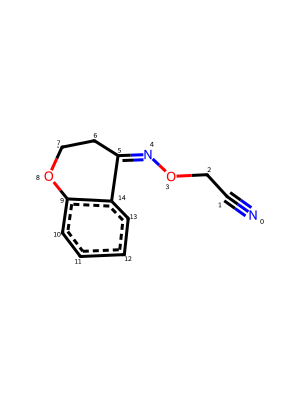 N#CCO/N=C1/C[CH]Oc2ccccc21